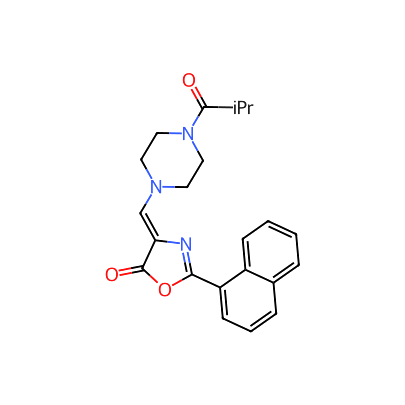 CC(C)C(=O)N1CCN(/C=C2\N=C(c3cccc4ccccc34)OC2=O)CC1